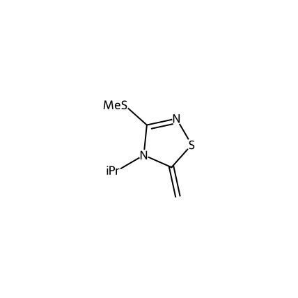 C=C1SN=C(SC)N1C(C)C